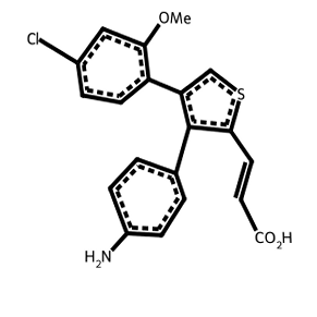 COc1cc(Cl)ccc1-c1csc(C=CC(=O)O)c1-c1ccc(N)cc1